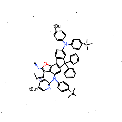 C=Nc1oc2c3c(cc(N(c4ccc([Si](C)(C)C)cc4)c4ccc(C(C)(C)C)cn4)c2c1/C=C\C)C(c1ccccc1)(c1ccccc1)c1cc(N(c2ccc(C(C)(C)C)cc2)c2ccc([Si](C)(C)C)cc2)ccc1-3